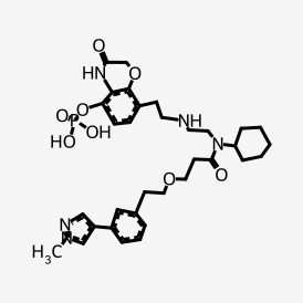 Cn1cc(-c2cccc(CCOCCC(=O)N(CCNCCc3ccc(OP(=O)(O)O)c4c3OCC(=O)N4)C3CCCCC3)c2)cn1